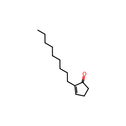 CCCCCCCCCC1=CCCC1=O